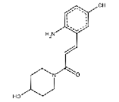 Nc1ccc(O)cc1C=CC(=O)N1CCC(O)CC1